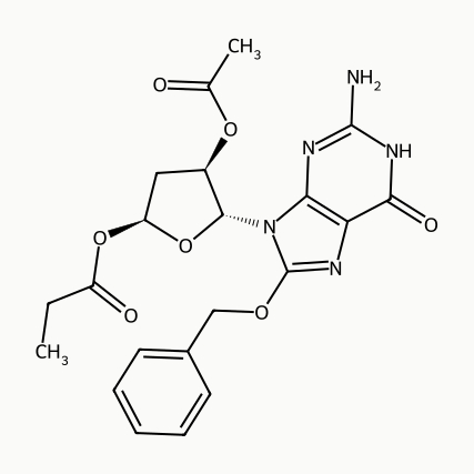 CCC(=O)O[C@H]1C[C@@H](OC(C)=O)[C@H](n2c(OCc3ccccc3)nc3c(=O)[nH]c(N)nc32)O1